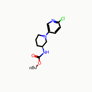 CCCCOC(=O)N[C@H]1CCCN(c2ccc(Cl)nc2)C1